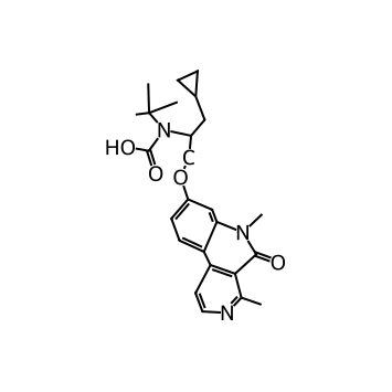 Cc1nccc2c1c(=O)n(C)c1cc(OCC(CC3CC3)N(C(=O)O)C(C)(C)C)ccc21